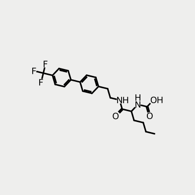 CCCCC(NC(=O)O)C(=O)NCCc1ccc(-c2ccc(C(F)(F)F)cc2)cc1